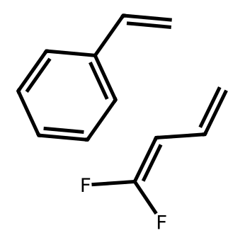 C=CC=C(F)F.C=Cc1ccccc1